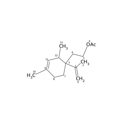 C=C(C)C1(CCOC(C)=O)CCC(C)=CC1C